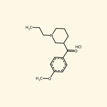 CCCN1CCCC(C(=O)c2ccc(OC)cc2)C1.Cl